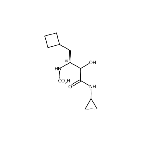 O=C(O)N[C@@H](CC1CCC1)C(O)C(=O)NC1CC1